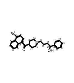 O=C(c1ccc(Br)c2ccccc12)C1CCN(CCCC(O)c2ccccc2)CC1